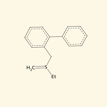 C=S(CC)Cc1ccccc1-c1ccccc1